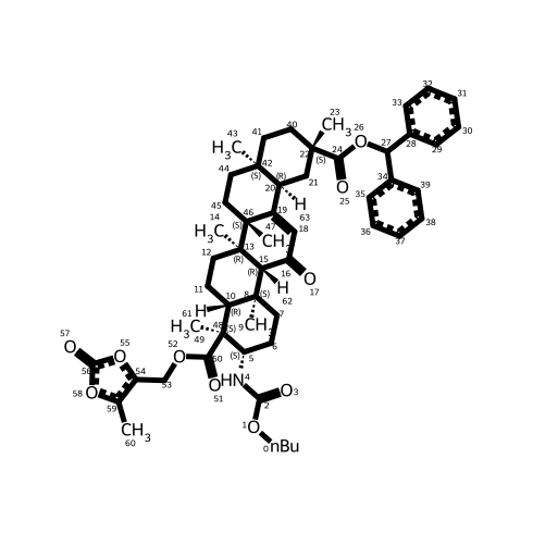 CCCCOC(=O)N[C@H]1CC[C@@]2(C)[C@@H](CC[C@]3(C)[C@@H]2C(=O)C=C2[C@@H]4C[C@@](C)(C(=O)OC(c5ccccc5)c5ccccc5)CC[C@]4(C)CC[C@]23C)[C@]1(C)C(=O)OCc1oc(=O)oc1C